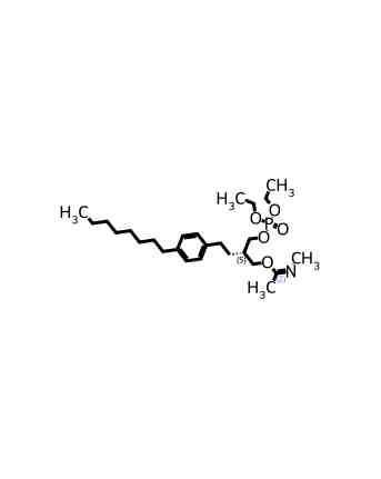 CCCCCCCCc1ccc(CC[C@@H](CO/C(C)=N\C)COP(=O)(OCC)OCC)cc1